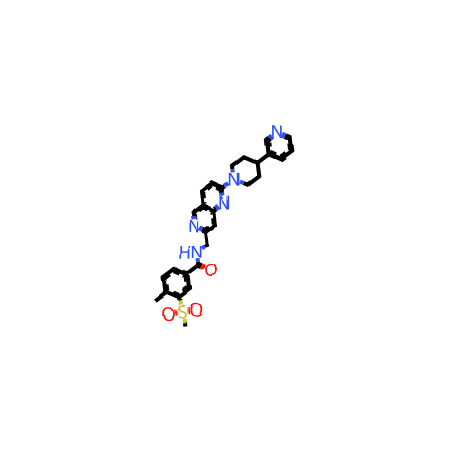 Cc1ccc(C(=O)NCc2cc3nc(N4CCC(c5cccnc5)CC4)ccc3cn2)cc1S(C)(=O)=O